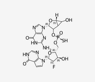 Nc1nc2c(ncn2[C@@H]2O[C@@H]3C(O)C3C2O[P@@](=O)(S)OC[C@H]2O[C@@H](n3ccc4c(=O)[nH]cnc43)[C@@H](F)[C@@H]2O)c(=O)[nH]1